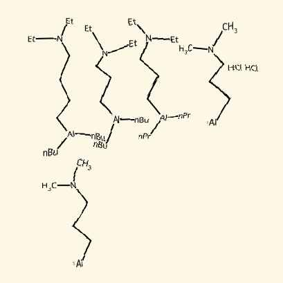 CCC[CH2][Al]([CH2]CCC)[CH2]CCCN(CC)CC.CCC[CH2][Al]([CH2]CCC)[CH2]CCN(CC)CC.CC[CH2][Al]([CH2]CC)[CH2]CCN(CC)CC.CN(C)CC[CH2][Al].CN(C)CC[CH2][Al].Cl.Cl